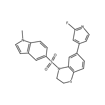 Cn1ccc2cc(S(=O)(=O)N3CCSc4ccc(-c5ccnc(F)c5)cc43)ccc21